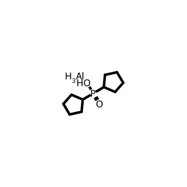 O=P(O)(C1CCCC1)C1CCCC1.[AlH3]